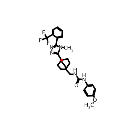 COc1ccc(NC(=O)NCC23CCC(c4nnc(-c5ccccc5C(F)(F)F)n4C)(CC2)CC3)cc1